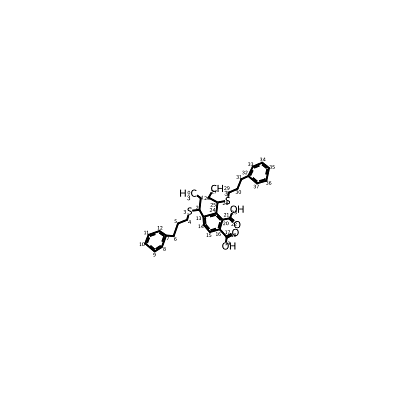 CCC(SCCCc1ccccc1)c1ccc(C(=O)O)c(C(=O)O)c1C(CC)SCCCc1ccccc1